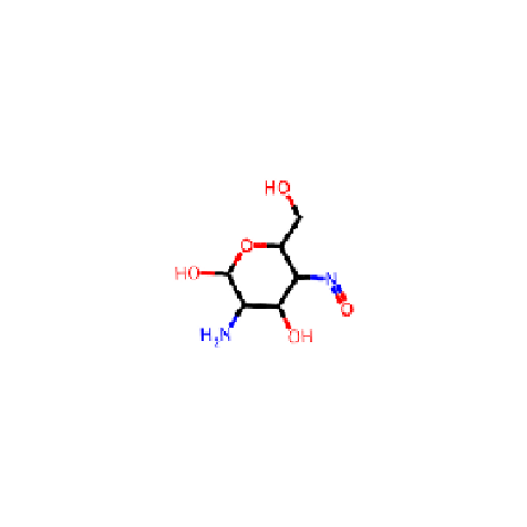 NC1C(O)OC(CO)C(N=O)C1O